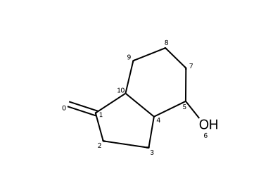 C=C1CCC2C(O)CCCC12